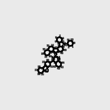 c1ccc(-n2c3ccccc3c3c4c5ccc6ccccc6c5n(-c5nc(-c6ccc7c(c6)oc6ccccc67)c6ccccc6n5)c4ccc32)cc1